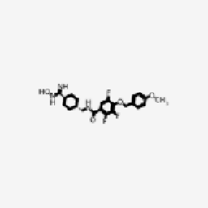 COc1ccc(COc2c(F)cc(C(=O)NC[C@H]3CC[C@H](C(=N)NO)CC3)c(F)c2F)cc1